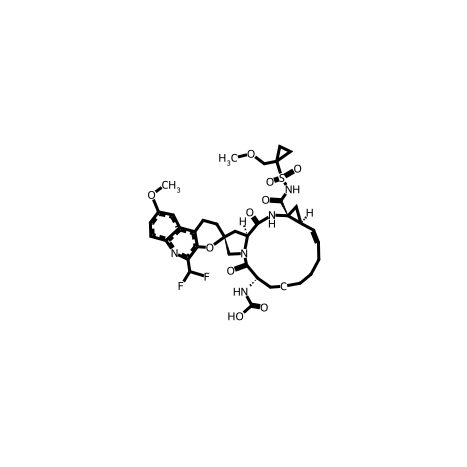 COCC1(S(=O)(=O)NC(=O)[C@@]23C[C@H]2C=CCCCCC[C@H](NC(=O)O)C(=O)N2C[C@@]4(CCc5c(c(C(F)F)nc6ccc(OC)cc56)O4)C[C@H]2C(=O)N3)CC1